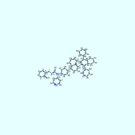 C=c1cccc/c1=C/C=C(\C)N(c1ccncc1)c1ccc(-c2ccc3c4c(cccc24)-c2c-3c(-c3ccccc3)c3ccccc3c2-c2ccccc2)cc1